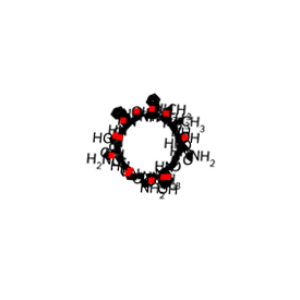 CCCC[C@H]1C(=O)N(C)[C@@H](CCCC)C(=O)N[C@@H](CO)C(=O)N[C@H](C(=O)NCC(N)=O)CSCC(=O)N[C@@H](Cc2ccc(O)cc2)C(=O)N(C)[C@@H](C)C(=O)N[C@@H](CC(N)=O)C(=O)N2CCC[C@H]2C(=O)NCC(=O)N[C@@H](CCC(N)=O)C(=O)N2C[C@H](O)C[C@H]2C(=O)N[C@@H](Cc2c[nH]c3ccccc23)C(=O)N[C@@H](CO)C(=O)N[C@@H](Cc2c[nH]c3ccccc23)C(=O)N1C